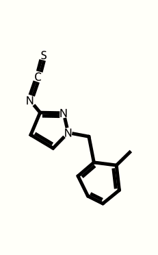 Cc1ccccc1Cn1ccc(N=C=S)n1